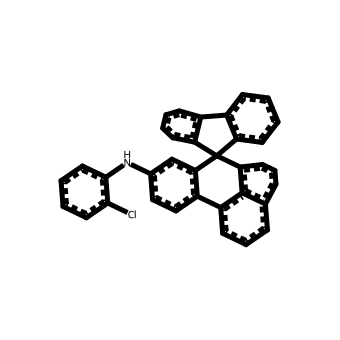 Clc1ccccc1Nc1ccc2c(c1)C1(c3ccccc3-c3ccccc31)c1cccc3cccc-2c13